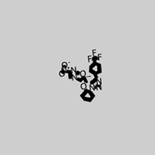 C[C@]1(COc2ccccc2-n2cc(-c3ccc(C(F)(F)F)cc3)nn2)Cn2cc([N+](=O)[O-])nc2O1